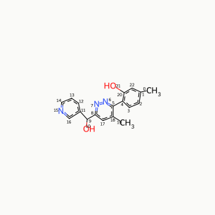 Cc1ccc(-c2nnc(C(O)c3cccnc3)cc2C)c(O)c1